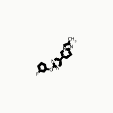 Cc1cn2cc(-c3cnc(Oc4cccc(F)c4)nc3)ccc2n1